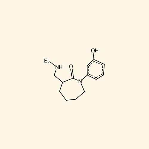 CCNCC1CCCCN(c2cccc(O)c2)C1=O